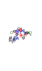 CC(NCc1ccc(Cl)cc1Oc1ccc(-c2cnc(CN(C)C)n2C)cc1)C(=O)N[C@H]1COC(=O)C[C@@H](Cc2ccccc2)C(=O)N(C)[C@@]2(Cc3ccc(Cl)cc3)CCCN(C2)C1=O